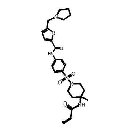 C=CC(=O)NC1(C)CCN(S(=O)(=O)c2ccc(NC(=O)c3ccc(CN4CCCC4)o3)cc2)CC1